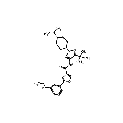 CCNc1cc(-c2cc(C(=O)Nc3cn([C@H]4CC[C@H](C(C)C)CC4)nc3C(C)(C)O)co2)ccn1